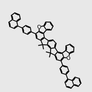 CC1(C)c2cc(-c3ccc(-c4cccc5ccccc45)cc3)c3oc4ccccc4c3c2-c2ccc3c(c21)C(C)(C)c1cc(-c2ccc(-c4cccc5ccccc45)cc2)c2oc4ccccc4c2c1-3